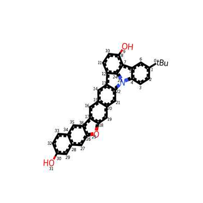 CC(C)(C)c1ccc2c(c1)c1c(O)ccc3c4cc5cc6c(cc5cc4n2c31)oc1cc2cc(O)ccc2cc16